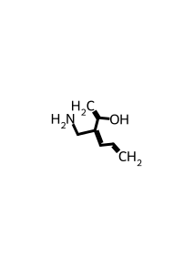 C=C/C=C(/CN)C(=C)O